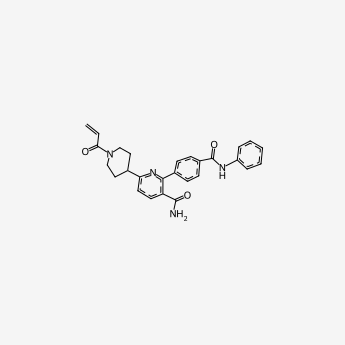 C=CC(=O)N1CCC(c2ccc(C(N)=O)c(-c3ccc(C(=O)Nc4ccccc4)cc3)n2)CC1